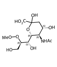 COO[C@H](CO)[C@@H](O)[C@@H]1OC(O)(C(=O)O)C[C@H](O)[C@H]1NC(C)=O